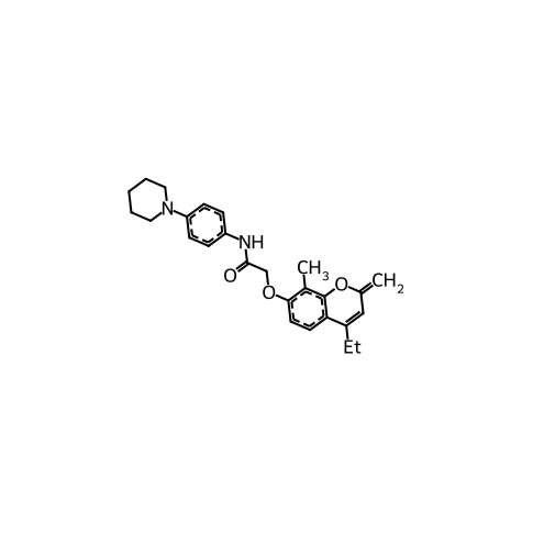 C=C1C=C(CC)c2ccc(OCC(=O)Nc3ccc(N4CCCCC4)cc3)c(C)c2O1